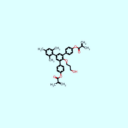 C=C(C)C(=O)Oc1ccc(-c2cc(-c3c(C)cc(C)cc3C)cc(-c3ccc(OC(=O)C(=C)C)cc3)c2OCCCO)cc1